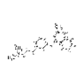 Cc1cc(Cc2cccc(CCCN(C)C)c2)c2ccccc2n1